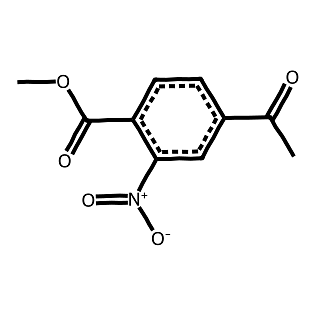 COC(=O)c1ccc(C(C)=O)cc1[N+](=O)[O-]